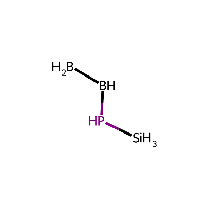 BBP[SiH3]